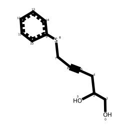 OCC(O)CC#CCSc1ccccc1